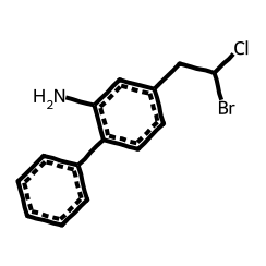 Nc1cc(CC(Cl)Br)ccc1-c1ccccc1